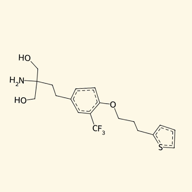 NC(CO)(CO)CCc1ccc(OCCCc2cccs2)c(C(F)(F)F)c1